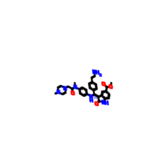 COC(=O)c1ccc2c(c1)/C(=C(/Nc1ccc(N(C)C(=O)CN3CCN(C)CC3)cc1)c1ccc(CCN)cc1)C(=O)N2